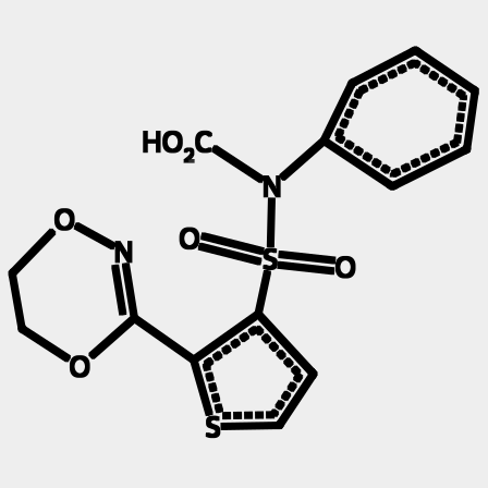 O=C(O)N(c1ccccc1)S(=O)(=O)c1ccsc1C1=NOCCO1